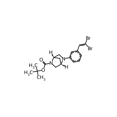 CC(C)(C)OC(=O)N1C[C@@H]2C[C@H]1CN2c1cccc(C=C(Br)Br)c1